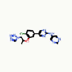 CC(Cn1cnnn1)Oc1cc(-c2cnc(Nc3cncnc3)nc2)ccc1Cl